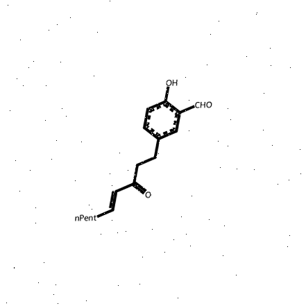 CCCCC/C=C/C(=O)CCc1ccc(O)c(C=O)c1